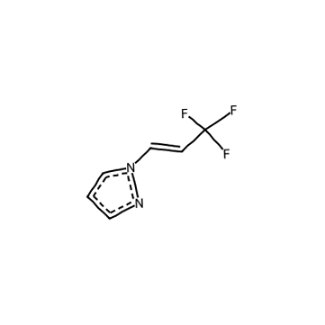 FC(F)(F)C=Cn1cccn1